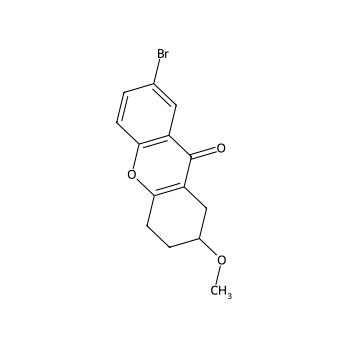 COC1CCc2oc3ccc(Br)cc3c(=O)c2C1